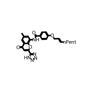 CCCCC/C=C/COc1ccc(C(=O)Nc2cc(C)cc3c(=O)cc(-c4nnn[nH]4)oc23)cc1